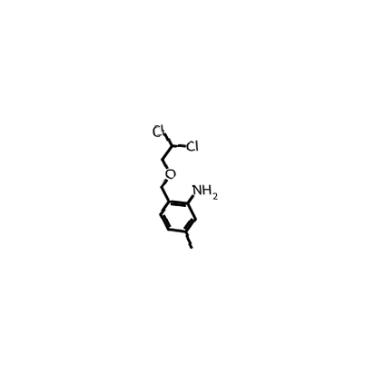 Cc1ccc(COCC(Cl)Cl)c(N)c1